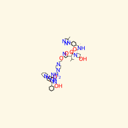 Cc1cnnn1-c1ccc([C@H](C)NC(=O)[C@@H]2C[C@@H](O)CN2C(=O)[C@H](c2cc(OCCN3CCN(CCOc4cc(N5C6CCC5CN(c5cc(-c7ccccc7O)nnc5N)C6)ccn4)CC3)no2)C(C)C)cc1